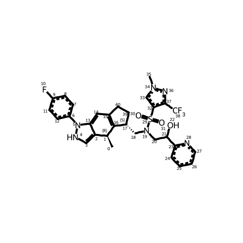 C[C@H]1C2=CNN(c3ccc(F)cc3)C2=CC2=C1[C@@H](CN(CC(O)c1ccccn1)S(=O)(=O)c1cn(C)nc1C(F)(F)F)CC2